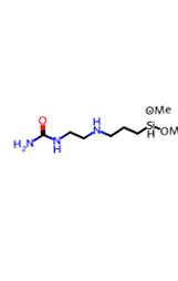 CO[SiH](CCCNCCNC(N)=O)OC